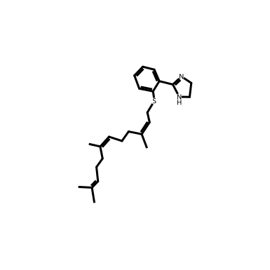 CC(C)=CCCC(C)=CCCC(C)=CCSc1ccccc1C1=NCCN1